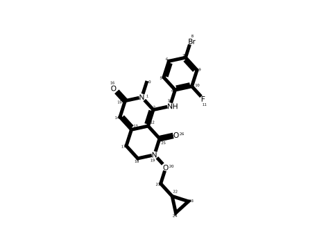 Cn1c(Nc2ccc(Br)cc2F)c2c(cc1=O)CCN(OCC1CC1)C2=O